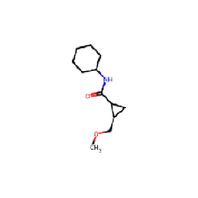 COC[C@@H]1CC1C(=O)NC1CCCCC1